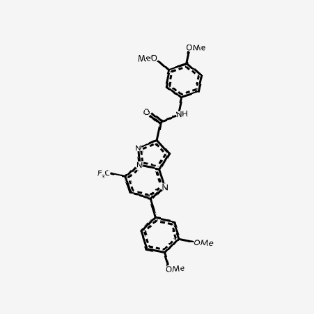 COc1ccc(NC(=O)c2cc3nc(-c4ccc(OC)c(OC)c4)cc(C(F)(F)F)n3n2)cc1OC